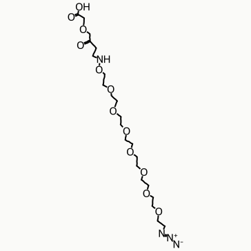 [N-]=[N+]=NCCOCCOCCOCCOCCOCCOCCOCCONCCC(=O)COCC(=O)O